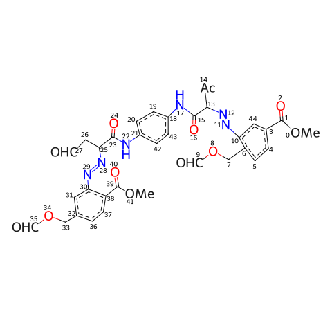 COC(=O)c1ccc(COC=O)c(N=NC(C(C)=O)C(=O)Nc2ccc(NC(=O)C(CC=O)N=Nc3cc(COC=O)ccc3C(=O)OC)cc2)c1